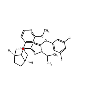 COc1cc(N2C[C@H]3CC[C@@H](C2)C3Nc2nc(Oc3cc(F)cc(Cl)c3)n(C(C)C)n2)ccn1